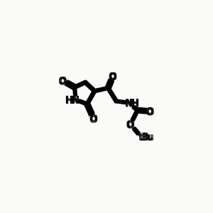 CC(C)(C)OC(=O)NCC(=O)C1CC(=O)NC1=O